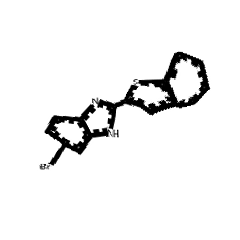 Brc1ccc2nc(-c3cc4ccccc4s3)[nH]c2c1